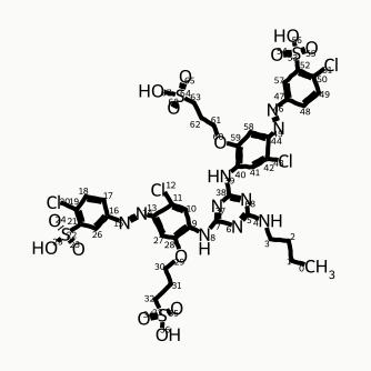 CCCCNc1nc(Nc2cc(Cl)c(N=Nc3ccc(Cl)c(S(=O)(=O)O)c3)cc2OCCCS(=O)(=O)O)nc(Nc2cc(Cl)c(N=Nc3ccc(Cl)c(S(=O)(=O)O)c3)cc2OCCCS(=O)(=O)O)n1